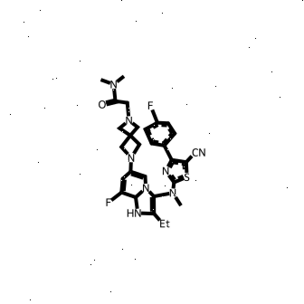 CCC1=C(N(C)c2nc(-c3ccc(F)cc3)c(C#N)s2)N2C=C(N3CC4(CN(CC(=O)N(C)C)C4)C3)C=C(F)C2N1